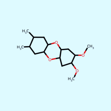 COC1CC2OC3CC(C)C(C)CC3OC2CC1OC